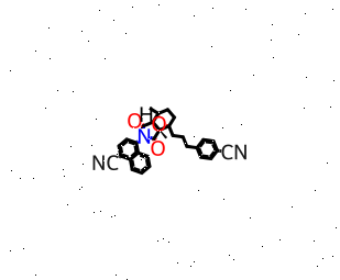 CC12CCC(CCCc3ccc(C#N)cc3)(O1)[C@]1(C)C(=O)N(c3ccc(C#N)c4ccccc34)C(=O)[C@H]21